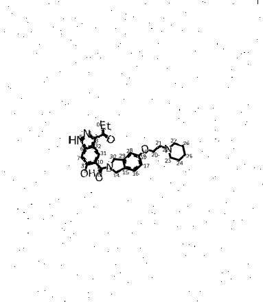 CCC(=O)c1n[nH]c2cc(O)c(C(=O)N3Cc4ccc(OCCN5CCCCC5)cc4C3)cc12